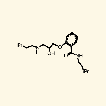 CC(C)CCNCC(O)COc1ccccc1C(=O)NCCC(C)C